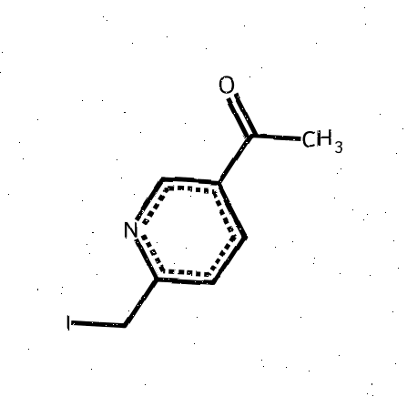 CC(=O)c1ccc(CI)nc1